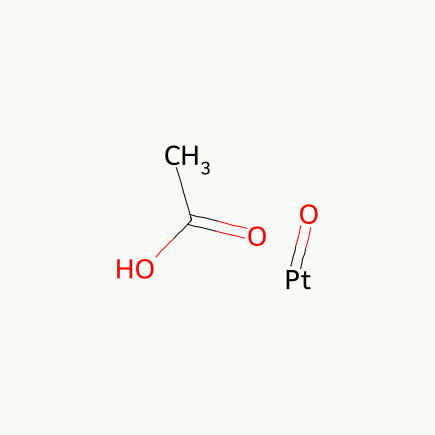 CC(=O)O.[O]=[Pt]